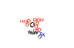 CC[N+](CC)(CC)CCOC(=O)Oc1ccc(S(=O)(=O)O)cc1S(=O)(=O)O.[NaH].[NaH]